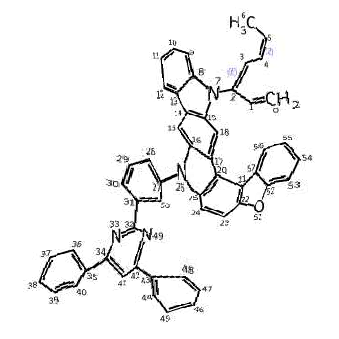 C=C/C(=C\C=C/C)n1c2ccccc2c2cc3c(cc21)c1c2c(ccc1n3-c1cccc(-c3nc(-c4ccccc4)cc(-c4ccccc4)n3)c1)oc1ccccc12